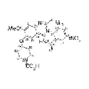 COc1cc2nc(C)nc(N[C@H](C)c3cc([N+](=O)[O-])cc(C(F)(F)F)c3)c2cc1OC1CCN(C(=O)O)CC1